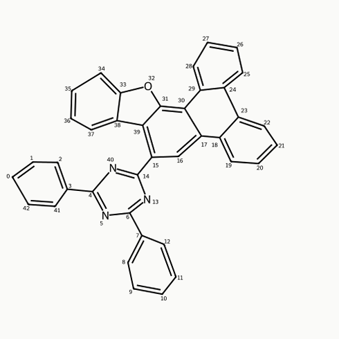 c1ccc(-c2nc(-c3ccccc3)nc(-c3cc4c5ccccc5c5ccccc5c4c4oc5ccccc5c34)n2)cc1